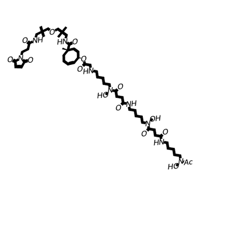 CC(=O)N(O)CCCCCNC(=O)CCC(=O)N(O)CCCCCNC(=O)CCC(=O)N(O)CCCCCNCC(=O)O[C@@H]1/C=C\CC[C@](C)(C(=O)NCC(C)(C)COCC(C)(C)CNC(=O)CCN2C(=O)C=CC2=O)CC1